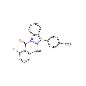 COc1cccc(F)c1C(=O)n1nc(-c2ccc(C(=O)O)cc2)c2ccccc21